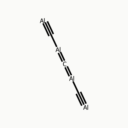 [Al]#[C][Al]=[C]=[Al][C]#[Al]